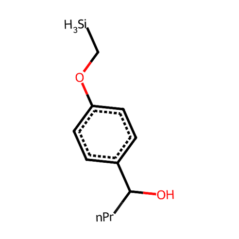 CCCC(O)c1ccc(OC[SiH3])cc1